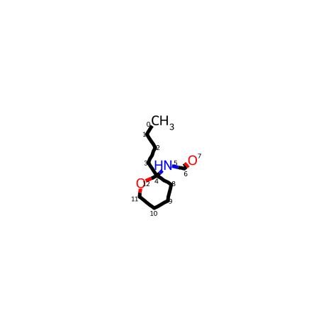 CCCCC1(NC=O)CCCCO1